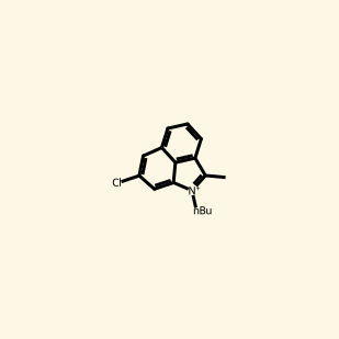 CCCC[N+]1=C(C)c2cccc3cc(Cl)cc1c23